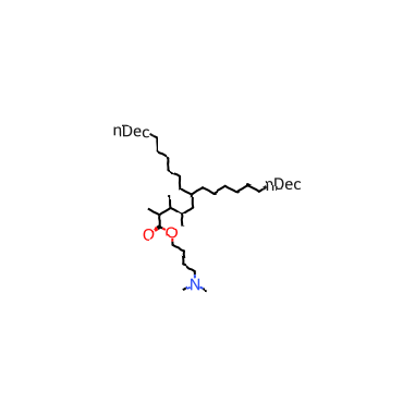 CCCCCCCCCCCCCCCCC(CCCCCCCCCCCCCCCC)CC(C)C(C)C(C)C(=O)OCCCCN(C)C